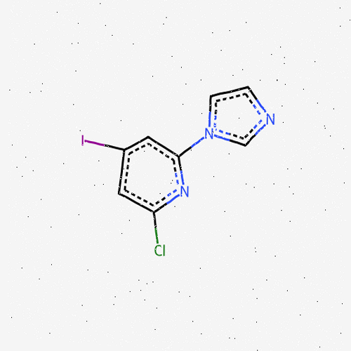 Clc1cc(I)cc(-n2ccnc2)n1